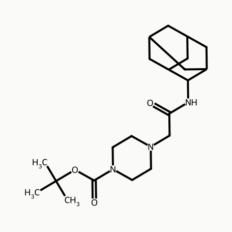 CC(C)(C)OC(=O)N1CCN(CC(=O)NC2C3CC4CC(C3)CC2C4)CC1